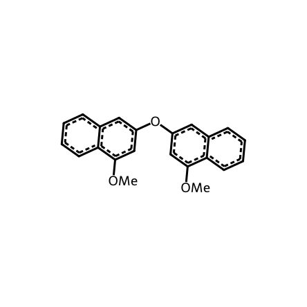 COc1cc(Oc2cc(OC)c3ccccc3c2)cc2ccccc12